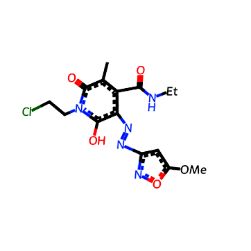 CCNC(=O)c1c(N=Nc2cc(OC)on2)c(O)n(CCCl)c(=O)c1C